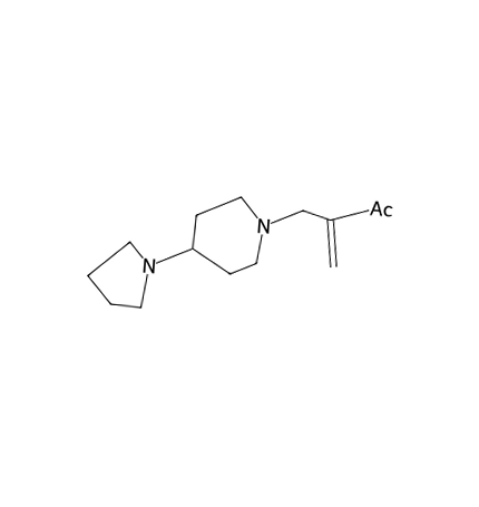 C=C(CN1CCC(N2CCCC2)CC1)C(C)=O